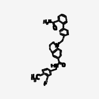 Cc1ccc(CNC(=O)c2ccc3c(c2)CCCN3Cc2ccc(-c3ccccc3C(N)=O)cc2)cc1F